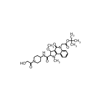 COC1c2c(c3ccccc3n(CC(=O)OC(C)(C)C)c2=O)N(C)C1C(=O)NC1CCN(C(=O)CO)CC1